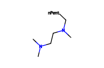 CCCCCCN(C)CCN(C)C